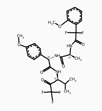 COc1ccc([C@H](NC(=O)[C@H](C)NC(=O)C(F)(F)c2ccccc2OC)C(=O)N[C@H](C(=O)C(F)(F)F)C(C)C)cc1